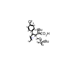 C/C=C/[C@@H](c1ccc(C(F)(F)F)cc1)[C@@H](CO[Si](C)(C)C(C)(C)C)N(C(=O)O)C(C)(C)C